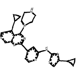 c1cc(-c2nc(N3CCNCC3)c3c(C4CC4)cncc3n2)cc(Nc2nc(C3CC3)cs2)n1